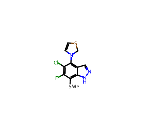 CSc1c(F)c(Cl)c(N2C=CSC2)c2cn[nH]c12